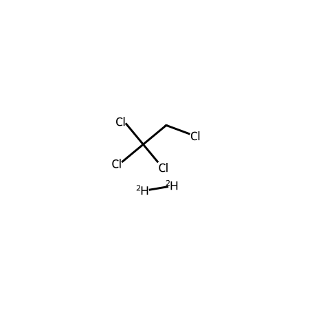 ClCC(Cl)(Cl)Cl.[2H][2H]